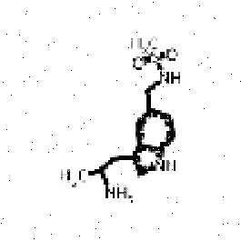 CC(N)Cc1c[nH]c2ccc(CNS(C)(=O)=O)cc12